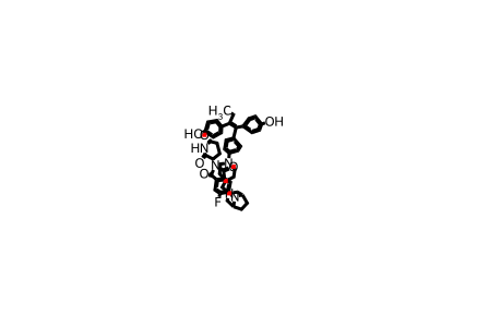 CCC(=C(c1ccc(O)cc1)c1ccc(N2CCC(CN3CC4CCC(C3)N4c3cc4c(cc3F)C(=O)N(C3CCC(=O)NC3=O)C4=O)CC2)cc1)c1ccc(O)cc1